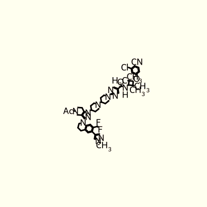 CC(=O)N1CCc2c(c(N3CCCc4cc(-c5cnn(C)c5)c(C(F)F)cc43)nn2C2CCN(C3CCN(c4ncc(C(=O)NC5C(C)(C)C(Oc6ccc(C#N)c(Cl)c6)C5(C)C)cn4)CC3)CC2)C1